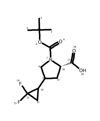 CC(C)(C)OC(=O)N1CC(C2CC2(F)F)C[C@H]1C(=O)O